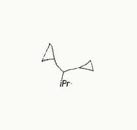 C[C](C)C(C1CC1)C1CC1